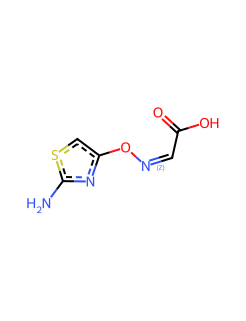 Nc1nc(O/N=C\C(=O)O)cs1